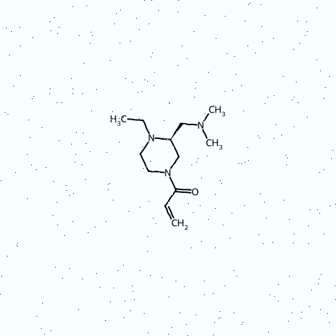 C=CC(=O)N1CCN(CC)[C@@H](CN(C)C)C1